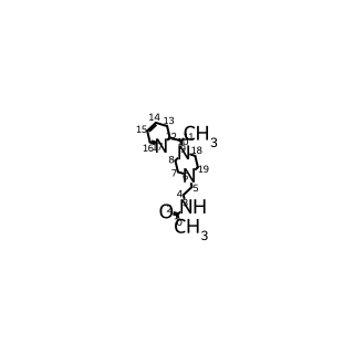 CC(=O)NCCN1CCN(C(C)C2CC=CC=N2)CC1